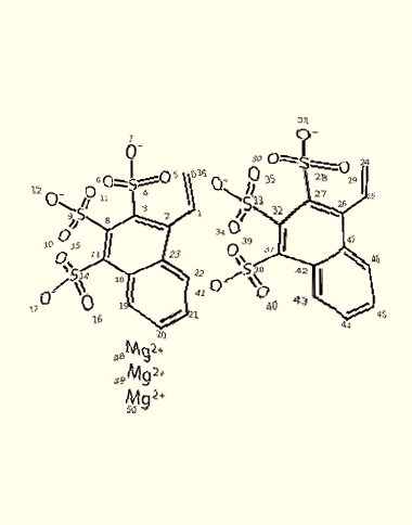 C=Cc1c(S(=O)(=O)[O-])c(S(=O)(=O)[O-])c(S(=O)(=O)[O-])c2ccccc12.C=Cc1c(S(=O)(=O)[O-])c(S(=O)(=O)[O-])c(S(=O)(=O)[O-])c2ccccc12.[Mg+2].[Mg+2].[Mg+2]